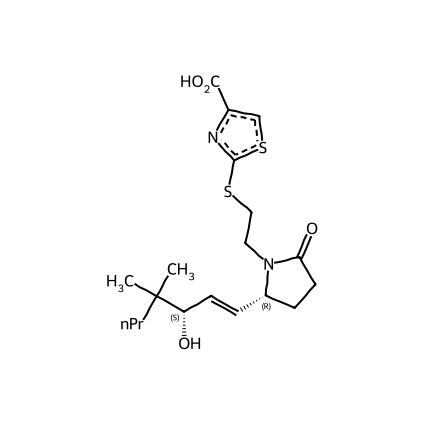 CCCC(C)(C)[C@@H](O)C=C[C@H]1CCC(=O)N1CCSc1nc(C(=O)O)cs1